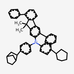 CC1(C)c2cc(N(c3ccc(C4CCCCC4)cc3)c3ccc(C4CC5CCC4C5)cc3)c(-c3ccccc3)cc2-c2cccc(-c3ccccc3)c21